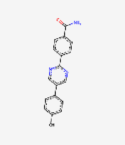 N#Cc1ccc(-c2cnc(-c3ccc(C(N)=O)cc3)nc2)cc1